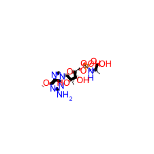 COc1nc(N)nc2c1ncn2[C@@H]1O[C@H](CO[P@@](=O)(O)N[C@@H](C)C(=O)O)[C@@H](O)[C@@]1(C)O